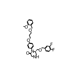 COc1ccccc1COCCCOc1ccc(N2C(=O)CNC[C@@H]2COCc2ccc(F)c(F)c2)cc1